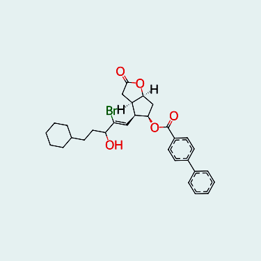 O=C1C[C@@H]2[C@H](C=C(Br)C(O)CCC3CCCCC3)[C@H](OC(=O)c3ccc(-c4ccccc4)cc3)C[C@@H]2O1